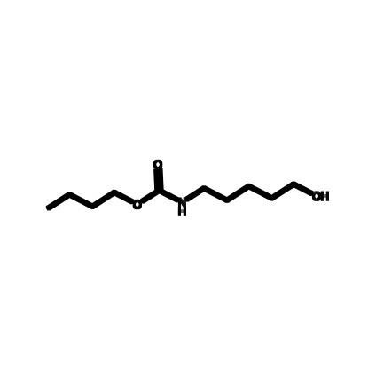 CCCCOC(=O)NCCCCCO